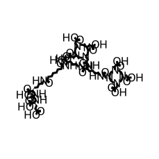 O=C(O)CC[C@H](NC(=O)N[C@@H](CCCCNC(=O)CCCCCCC(=O)NC(CCCCNC(=O)C(CCCCNC(=O)CN1CCN(CC(=O)O)CCN(CC(=O)O)CCN(CC(=O)O)CC1)NC(=O)CN1CCN(CC(=O)O)CCN(CC(=O)O)CCN(CC(=O)O)CC1)C(=O)O)C(=O)O)C(=O)O